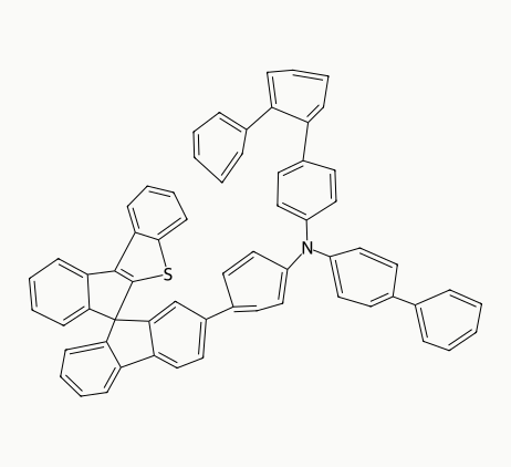 c1ccc(-c2ccc(N(c3ccc(-c4ccc5c(c4)C4(c6ccccc6-5)c5ccccc5-c5c4sc4ccccc54)cc3)c3ccc(-c4ccccc4-c4ccccc4)cc3)cc2)cc1